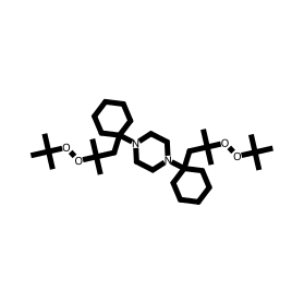 CC(C)(C)OOC(C)(C)CC1(N2CCN(C3(CC(C)(C)OOC(C)(C)C)CCCCC3)CC2)CCCCC1